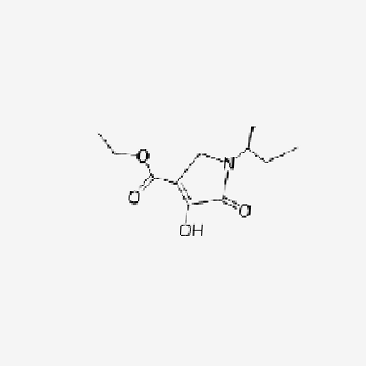 CCOC(=O)C1=C(O)C(=O)N([C@@H](C)CC)C1